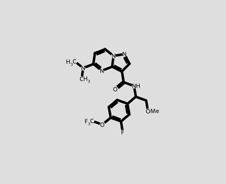 COCC(NC(=O)c1cnn2ccc(N(C)C)nc12)c1ccc(OC(F)(F)F)c(F)c1